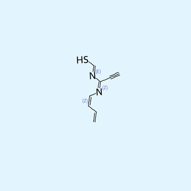 C#CC(=N/C=C\C=C)/N=C/S